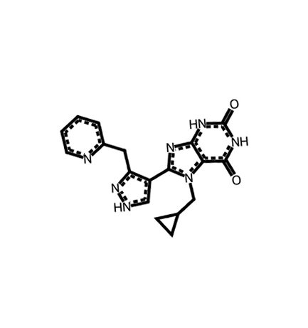 O=c1[nH]c(=O)c2c(nc(-c3c[nH]nc3Cc3ccccn3)n2CC2CC2)[nH]1